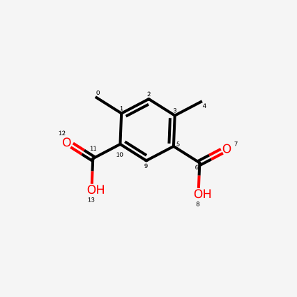 Cc1cc(C)c(C(=O)O)cc1C(=O)O